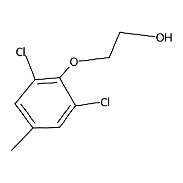 Cc1cc(Cl)c(OCCO)c(Cl)c1